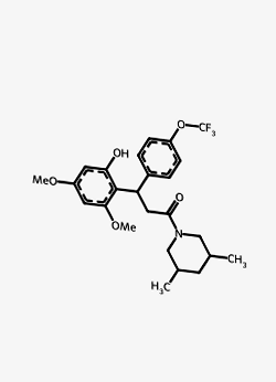 COc1cc(O)c(C(CC(=O)N2CC(C)CC(C)C2)c2ccc(OC(F)(F)F)cc2)c(OC)c1